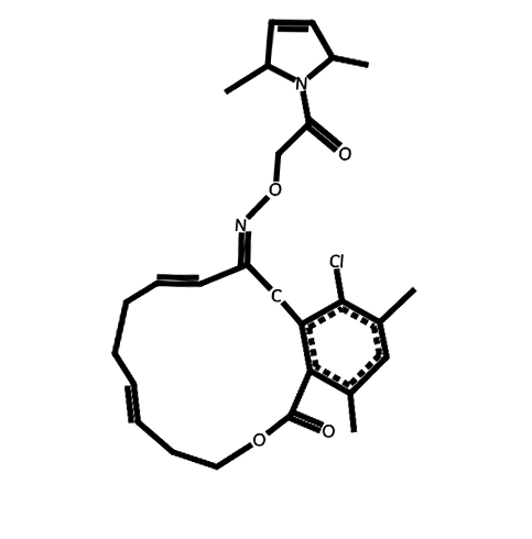 Cc1cc(C)c2c(c1Cl)CC(=N\OCC(=O)N1C(C)C=CC1C)/C=C/CC/C=C/CCOC2=O